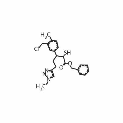 CCn1cc(CCC(c2ccc(C)c(CCl)c2)C(S)C(=O)OCc2ccccc2)nn1